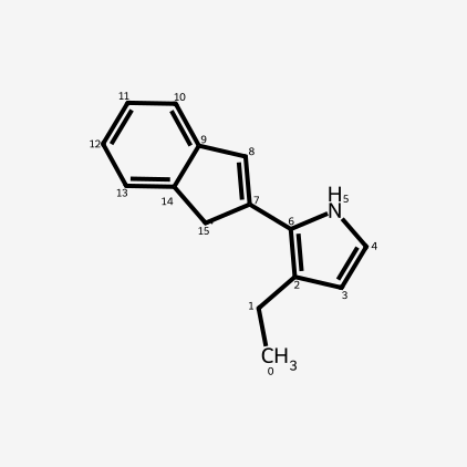 CCc1cc[nH]c1C1=Cc2ccccc2[CH]1